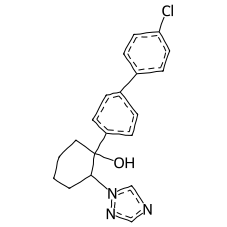 OC1(c2ccc(-c3ccc(Cl)cc3)cc2)CCCCC1n1cncn1